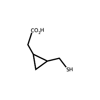 O=C(O)CC1CC1CS